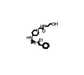 CC/C(=C\c1ccccc1)[C@@H]1C[C@H]1NC1CCN(CC(=O)NCCO)CC1